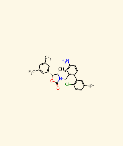 CC(C)c1ccc(Cl)c(-c2ccc(N)cc2CN2C(=O)O[C@H](c3cc(C(F)(F)F)cc(C(F)(F)F)c3)[C@@H]2C)c1